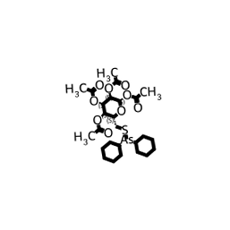 CC(=O)O[C@@H]1O[C@H](CS[As](C2CCCCC2)C2CCCCC2)[C@@H](OC(C)=O)[C@H](OC(C)=O)[C@H]1OC(C)=O